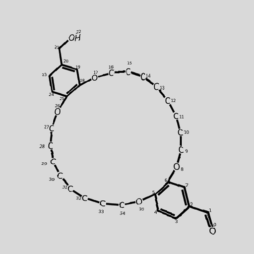 O=Cc1ccc2c(c1)OCCCCCCCCOc1cc(CO)ccc1OCCCCCCCCO2